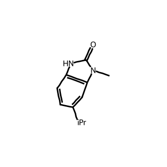 CC(C)c1ccc2[nH]c(=O)n(C)c2c1